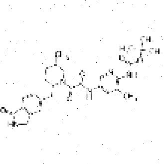 Cc1cc(NC(=O)C(=O)N2C[C@@H](C)CCC2Cc2ccc3c(c2)CNC3=O)cnc1NC(=O)OC(C)(C)C